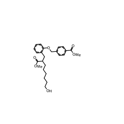 COC(=O)c1ccc(COc2ccccc2CC(CCCCCCO)C(=O)OC)cc1